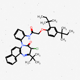 CCC(C)(C)c1ccc(OCC(=O)Nc2ccccc2N2C(=O)C(Cl)C(C(C)(C)C)=Nc3c2ccc2ccccc32)c(C(C)(C)CC)c1